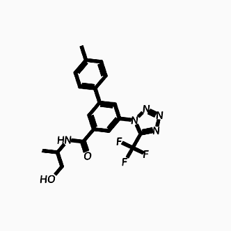 Cc1ccc(-c2cc(C(=O)NC(C)CO)cc(-n3nnnc3C(F)(F)F)c2)cc1